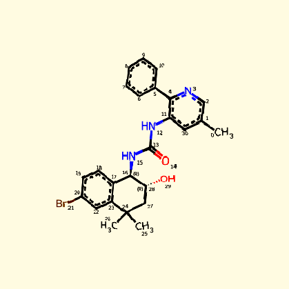 Cc1cnc(-c2ccccc2)c(NC(=O)N[C@@H]2c3ccc(Br)cc3C(C)(C)C[C@H]2O)c1